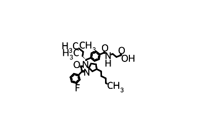 CCCCCC1CCC2(C1)N=C(c1cccc(F)c1)C(=O)N2[C@H](CCC(C)(C)C)c1ccc(C(=O)NCCC(=O)O)cc1